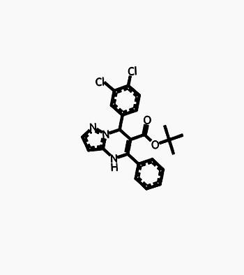 CC(C)(C)OC(=O)C1=C(c2ccccc2)Nc2ccnn2C1c1ccc(Cl)c(Cl)c1